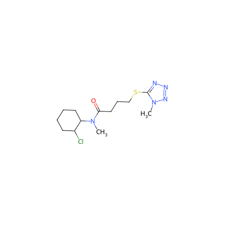 CN(C(=O)CCCSc1nnnn1C)C1CCCCC1Cl